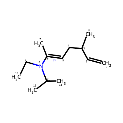 C=CC(C)C/C=C(\C)N(CC)C(C)C